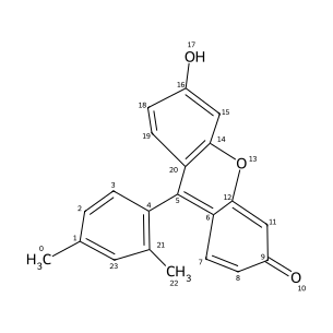 Cc1ccc(-c2c3ccc(=O)cc-3oc3cc(O)ccc23)c(C)c1